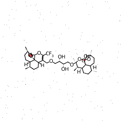 C[C@@H]1CC[C@H]2[C@@H](C)[C@@](C)(OC[C@H](O)[C@@H](O)COCC3=C(C(F)(F)F)O[C@@H]4O[C@]5(C)CC[C@H]6[C@H](C)CC[C@@H]3[C@@]46OO5)O[C@@H]3O[C@]4(C)CC[C@@H]1[C@]32OO4